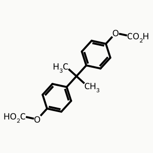 CC(C)(c1ccc(OC(=O)O)cc1)c1ccc(OC(=O)O)cc1